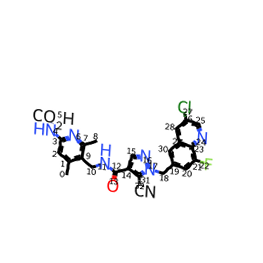 Cc1cc(NC(=O)O)nc(C)c1CNC(=O)c1cnn(Cc2cc(F)c3ncc(Cl)cc3c2)c1C#N